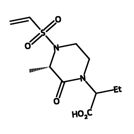 C=CS(=O)(=O)N1CCN(C(CC)C(=O)O)C(=O)[C@@H]1C